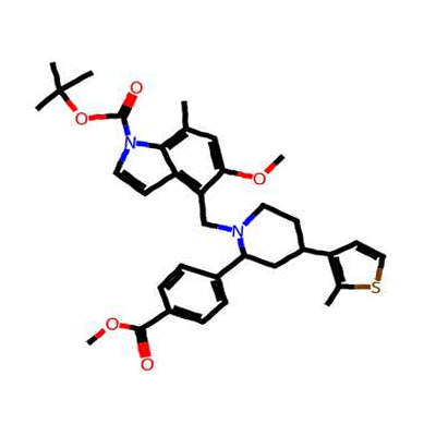 COC(=O)c1ccc(C2CC(c3ccsc3C)CCN2Cc2c(OC)cc(C)c3c2ccn3C(=O)OC(C)(C)C)cc1